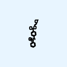 COCCOC(=O)c1ccc(C=[N+]([O-])c2ccccc2)cc1